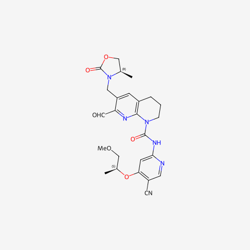 COC[C@H](C)Oc1cc(NC(=O)N2CCCc3cc(CN4C(=O)OC[C@H]4C)c(C=O)nc32)ncc1C#N